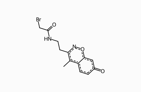 Cc1c2ccc(=O)cc-2onc1CCNC(=O)CBr